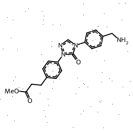 COC(=O)CCc1ccc(-n2ncn(-c3ccc(CN)cc3)c2=O)cc1